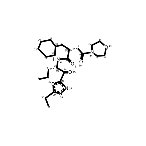 CCC[C@H](NC(=O)[C@@H](CC(=O)N1CCOCC1)CC1CCCCC1)C(=O)c1nnc(CC)o1